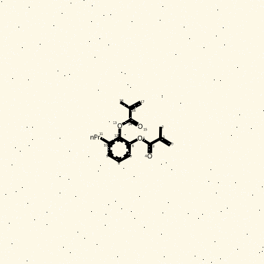 C=C(C)C(=O)Oc1cccc(CCC)c1OC(=O)C(=C)C